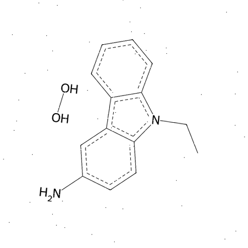 CCn1c2ccccc2c2cc(N)ccc21.OO